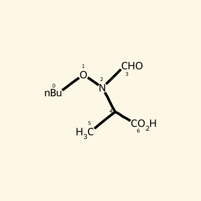 CCCCON(C=O)C(C)C(=O)O